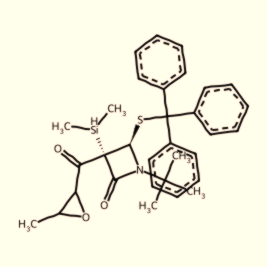 CC1OC1C(=O)[C@]1([SiH](C)C)C(=O)N(C(C)(C)C)[C@@H]1SC(c1ccccc1)(c1ccccc1)c1ccccc1